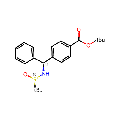 CC(C)(C)OC(=O)c1ccc([C@@H](N[S@+]([O-])C(C)(C)C)c2ccccc2)cc1